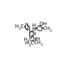 Cc1cn(-c2cnc(NC(C)(C)C)nc2N[C@@H]2CC[C@@H](C)[C@H](O)C2)cn1